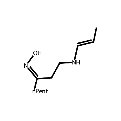 CC=CNCCC(CCCCC)=NO